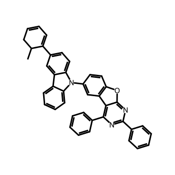 CC1CC=CC=C1c1ccc2c(c1)c1ccccc1n2-c1ccc2oc3nc(-c4ccccc4)nc(-c4ccccc4)c3c2c1